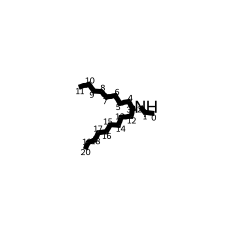 C[CH]NC(CCCCCCCC)CCCCCCCCC